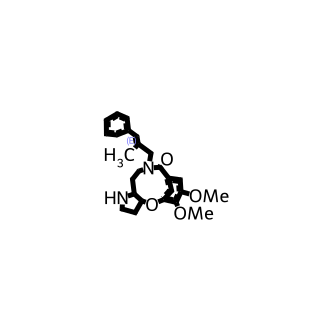 COc1cc2cc(c1OC)OC1CCNC1CCN(C/C(C)=C/c1ccccc1)C2=O